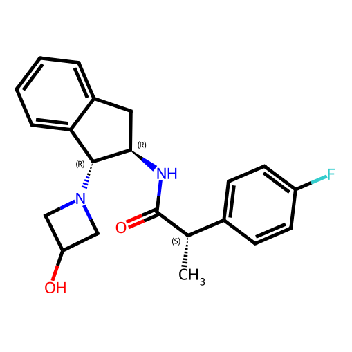 C[C@H](C(=O)N[C@@H]1Cc2ccccc2[C@H]1N1CC(O)C1)c1ccc(F)cc1